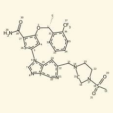 C[C@@H](Oc1cc(-n2cnc3cnc(CN4CCN(S(C)(=O)=O)CC4)cc32)sc1C(N)=O)c1ccccc1C(F)(F)F